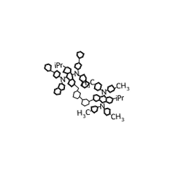 Cc1ccc(N(c2ccc(C)cc2)c2c3ccc(C4CCCC(C5CCCC(Cc6ccc7c(N(c8ccc(-c9ccccc9)cc8)c8ccc9ccccc9c8)c8cc(C(C)C)ccc8c(N(c8ccc(-c9ccccc9)cc8)c8ccc9ccccc9c8)c7c6)C5)C4)cc3c(N(c3ccc(C)cc3)c3ccc(C)cc3)c3ccc(C(C)C)cc23)cc1